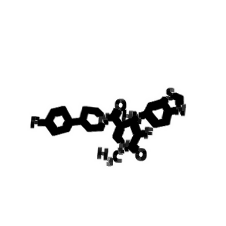 Cn1cc(C(=O)N2CCC(c3ccc(F)cc3)CC2)c(Nc2ccc3ncsc3c2)c(F)c1=O